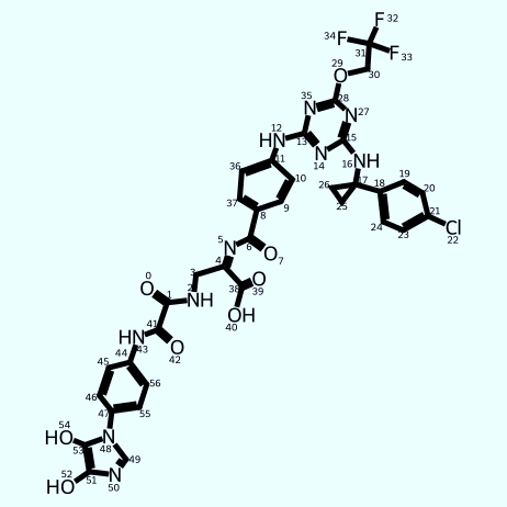 O=C(NC/C(=N/C(=O)c1ccc(Nc2nc(NC3(c4ccc(Cl)cc4)CC3)nc(OCC(F)(F)F)n2)cc1)C(=O)O)C(=O)Nc1ccc(-n2cnc(O)c2O)cc1